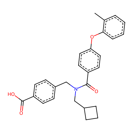 Cc1ccccc1Oc1ccc(C(=O)N(Cc2ccc(C(=O)O)cc2)CC2CCC2)cc1